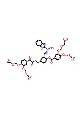 CCCN(/N=C/c1cc(CCC(=O)C(=O)c2ccc(OCOC3CO3)c(OCOC3CO3)c2)ccc1OC(=O)c1ccc(OCOC2CO2)c(OCOCC2CO2)c1)c1nc2ccccc2s1